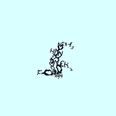 Cc1ccc(Nc2ncc3c(n2)C2(CC2)C(=O)N(c2cc(NC(=O)Nc4ccc(F)cc4)ccc2C)C3)cn1